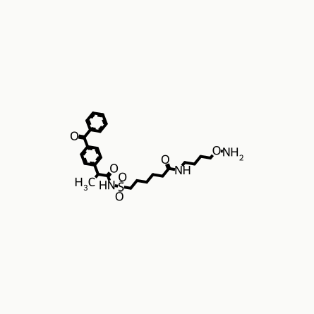 CC(C(=O)NS(=O)(=O)CCCCCC(=O)NCCCCON)c1ccc(C(=O)c2ccccc2)cc1